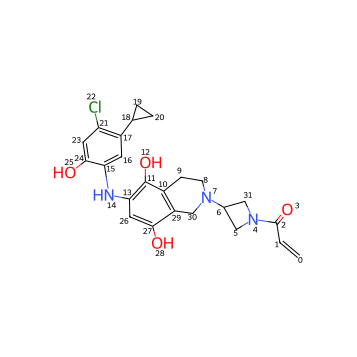 C=CC(=O)N1CC(N2CCc3c(O)c(Nc4cc(C5CC5)c(Cl)cc4O)cc(O)c3C2)C1